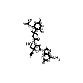 C#C[C@]1(CO)O[C@@H](n2cnc3c(N)nc(F)nc32)C[C@@H]1OC(=O)CC(C)(C)c1c(C)cc(C)cc1OC(C)=O